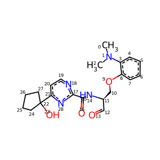 CN(C)c1ccccc1OC[C@@H](C=O)NC(=O)c1nccc(C2(O)CCCC2)n1